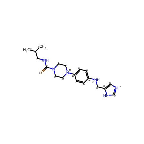 CC(C)CNC(=S)N1CCN(c2ccc(NCc3cnc[nH]3)cc2)CC1